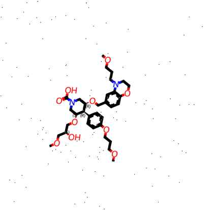 COCCCOc1ccc([C@@H]2[C@@H](OCc3ccc4c(c3)N(CCCOC)CCO4)CN(C(=O)O)C[C@H]2OC[C@@H](O)COC)cc1